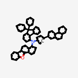 c1ccc(C2(c3ccccc3)c3ccccc3-c3c(N(c4ccc(-c5ccc6c(ccc7ccccc76)c5)cc4)c4cccc5c4ccc4c6ccccc6oc54)cccc32)cc1